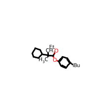 CCOC(Oc1ccc(C(C)CC)cc1)C(C)(C)C1CCCCC1